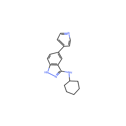 c1cc(-c2ccc3[nH]nc(NC4CCCCC4)c3c2)ccn1